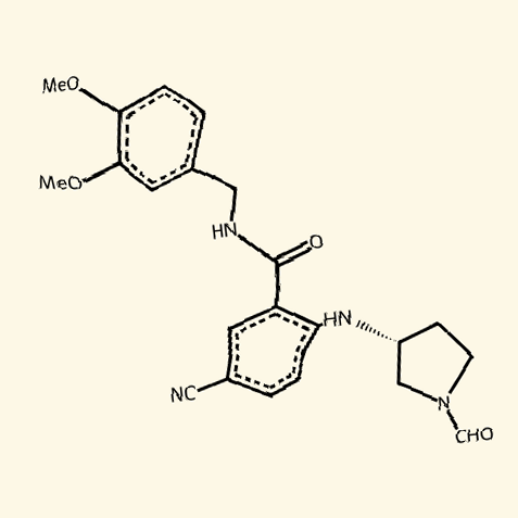 COc1ccc(CNC(=O)c2cc(C#N)ccc2N[C@@H]2CCN(C=O)C2)cc1OC